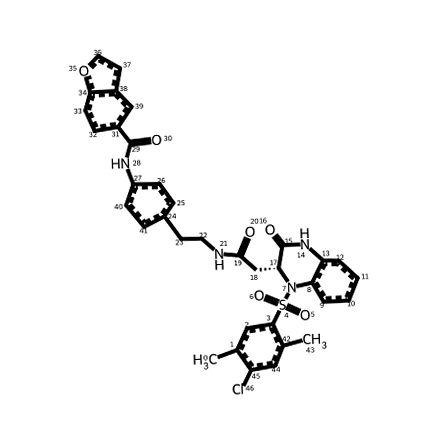 Cc1cc(S(=O)(=O)N2c3ccccc3NC(=O)[C@H]2CC(=O)NCCc2ccc(NC(=O)c3ccc4occc4c3)cc2)c(C)cc1Cl